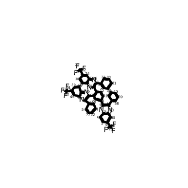 FC(F)(F)c1ccc2nc(-c3ccc(-c4nc5ccc(C(F)(F)F)cc5nc4-c4ccccc4)c(-c4nc5ccc(C(F)(F)F)cc5nc4-c4ccccc4)c3)c(-c3ccccc3)nc2c1